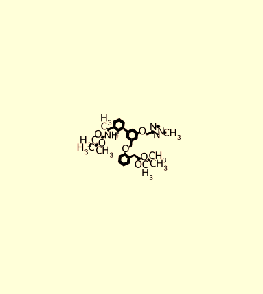 C[C@@H](NC(=O)OC(C)(C)C)c1cccc(-c2cc(COc3ccccc3CC(=O)OC(C)(C)C)cc(OCc3ncn(C)n3)c2)c1F